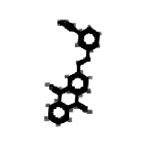 C#Cc1cccc(OCc2ccc3c(c2)C(=O)c2ccccc2C3=O)c1